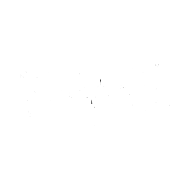 COC(=O)c1cc(OC(F)(F)F)ccc1N1CCO[C@H]([C@@H](O)C(=O)Nc2ccc(C#N)c(CN)c2)C1=O.Cl